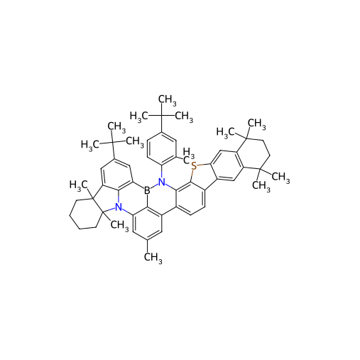 Cc1cc2c3c(c1)N1c4c(cc(C(C)(C)C)cc4C4(C)CCCCC14C)B3N(c1ccc(C(C)(C)C)cc1C)c1c-2ccc2c1sc1cc3c(cc12)C(C)(C)CCC3(C)C